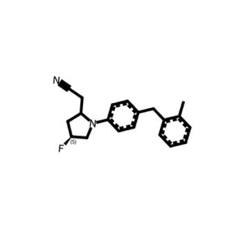 Cc1ccccc1Cc1ccc(N2C[C@@H](F)CC2CC#N)cc1